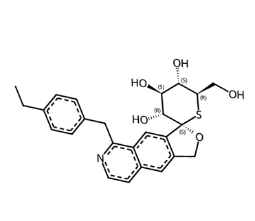 CCc1ccc(Cc2nccc3cc4c(cc23)[C@]2(OC4)S[C@H](CO)[C@@H](O)[C@H](O)[C@H]2O)cc1